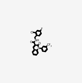 O=C(NCc1ccc(F)cc1Cl)c1cc2ccccc2n(-c2cccc(C(F)(F)F)c2)c1=O